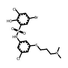 CN(C)CCCSc1cc(Cl)cc(NS(=O)(=O)c2cc(Br)cc(Cl)c2O)c1